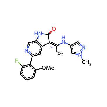 COc1cccc(F)c1-c1cc2c(cn1)NC(=O)/C2=C(\Nc1cnn(C)c1)C(C)C